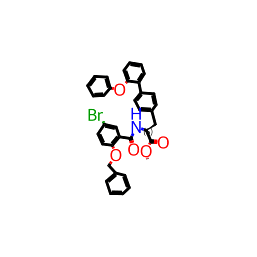 COC(=O)[C@H](Cc1ccc(-c2ccccc2Oc2ccccc2)cc1)NC(=O)c1cc(Br)ccc1OCc1ccccc1